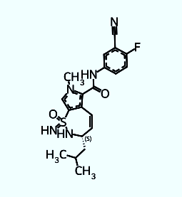 CC(C)C[C@H]1C=Cc2c(cn(C)c2C(=O)Nc2ccc(F)c(C#N)c2)S(=N)(=O)N1